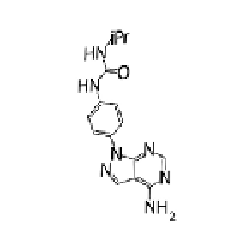 CC(C)NC(=O)Nc1ccc(-n2ncc3c(N)ncnc32)cc1